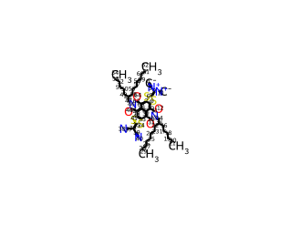 [C-]#[N+]C([N+]#[C-])=c1sc2c(s1)c1c(=O)n(CC(CCCCCC)CCCCCCCC)c(=O)c3c4sc(=C(C#N)C#N)sc4c4c(=O)n(CC(CCCCCC)CCCCCCCC)c(=O)c2c4c31